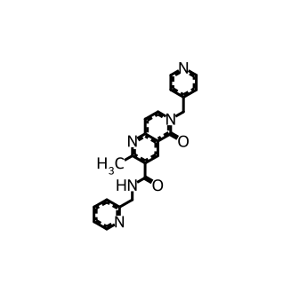 Cc1nc2ccn(Cc3ccncc3)c(=O)c2cc1C(=O)NCc1ccccn1